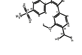 COc1cc(C2=C(c3ccc(S(N)(=O)=O)cc3)CCC2)cnc1C(F)F